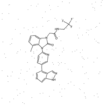 Cc1cccc2c1n(-c1ccc(-c3cncc4[nH]ncc34)cn1)c(=O)n2CC(=O)NCC(F)(F)F